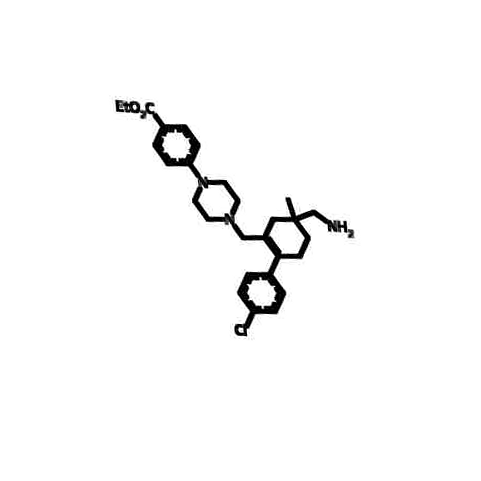 CCOC(=O)c1ccc(N2CCN(CC3=C(c4ccc(Cl)cc4)CCC(C)(CN)C3)CC2)cc1